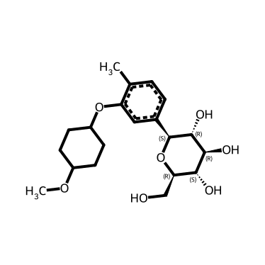 COC1CCC(Oc2cc([C@@H]3O[C@H](CO)[C@@H](O)[C@H](O)[C@H]3O)ccc2C)CC1